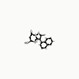 Cc1nn2c(=O)cc(C(C)(C)C)[nH]c2c1-c1cccc2ccccc12